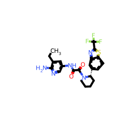 CCc1cc(NC(=O)C(=O)N2CCCC[C@H]2c2ccc3sc(C(F)(F)F)nc3c2)cnc1N